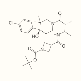 CC(NC(=O)C1CN(C(=O)OC(C)(C)C)C1)[C@@H](C)C(=O)N1CC[C@](O)(c2ccc(Cl)cc2)C(C)(C)C1